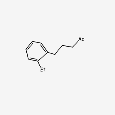 CCc1ccccc1CCCC(C)=O